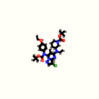 CCOc1ccc(N(C(=O)OC(C)(C)C)c2c(C)c(N(CC)[C@H]3CCCN(C(=O)OC(C)(C)C)C3)nc3c(Cl)cnn23)cc1